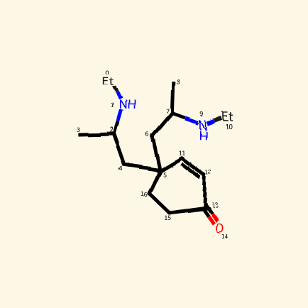 CCNC(C)CC1(CC(C)NCC)C=CC(=O)CC1